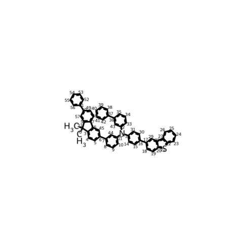 CC1(C)c2ccc(-c3cccc(N(c4ccc(-c5ccc6sc7ccccc7c6c5)cc4)c4cccc(-c5ccccc5)c4)c3)cc2-c2ccc(-c3ccccc3)cc21